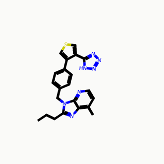 CCCc1nc2c(C)ccnc2n1Cc1ccc(-c2cscc2-c2nnn[nH]2)cc1